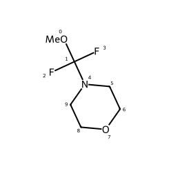 COC(F)(F)N1CCOCC1